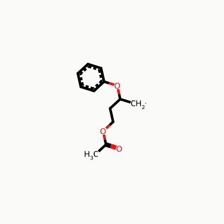 [CH2]C(CCOC(C)=O)Oc1ccccc1